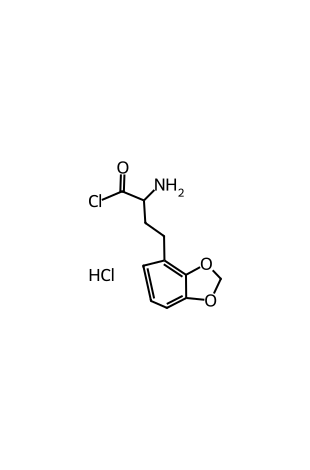 Cl.NC(CCc1cccc2c1OCO2)C(=O)Cl